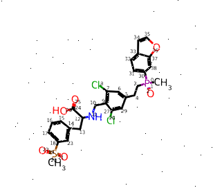 CP(=O)(CCc1cc(Cl)c(CNC(Cc2cccc(S(C)(=O)=O)c2)C(=O)O)c(Cl)c1)c1ccc2ccoc2c1